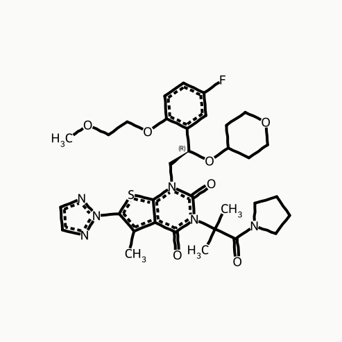 COCCOc1ccc(F)cc1[C@H](Cn1c(=O)n(C(C)(C)C(=O)N2CCCC2)c(=O)c2c(C)c(-n3nccn3)sc21)OC1CCOCC1